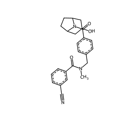 CN(Cc1ccc(C(=O)N2C3CCC2CC(O)C3)cc1)C(=O)c1cccc(C#N)c1